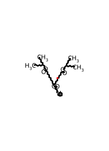 CCCCCC(CCCCC)CCOC(=O)CCCCCCCCC(CCCCCCCCC(=O)OCCC(CCCCC)CCCCC)OC(=O)CCCN1CCCCC1